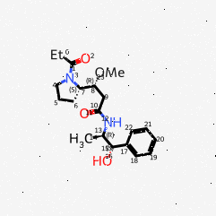 CCC(=O)N1CCC[C@H]1[C@@H](CC(=O)N[C@H](C)[C@@H](O)c1ccccc1)OC